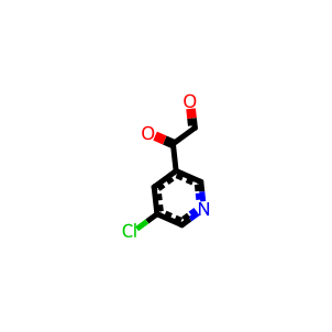 O=CC(=O)c1cncc(Cl)c1